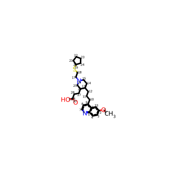 COc1ccc2nccc(CCCC3CCN(CCSC4CCCC4)CC3CCC(=O)O)c2c1